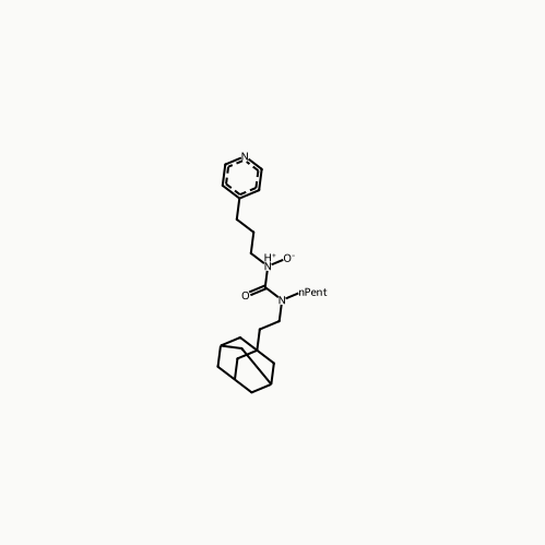 CCCCCN(CCC12CC3CC(CC(C3)C1)C2)C(=O)[NH+]([O-])CCCc1ccncc1